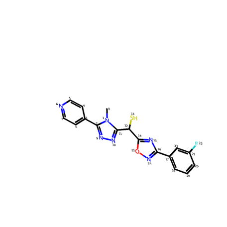 Cn1c(-c2ccncc2)nnc1C(S)c1nc(-c2cccc(F)c2)no1